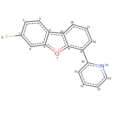 Fc1ccc2c(c1)oc1c(-c3ccccn3)cccc12